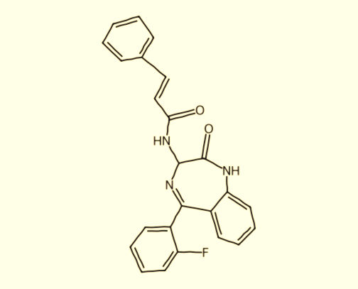 O=C(C=Cc1ccccc1)NC1N=C(c2ccccc2F)c2ccccc2NC1=O